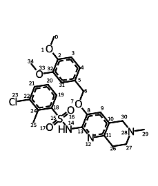 COc1ccc(COc2cc3c(nc2NS(=O)(=O)c2cccc(Cl)c2C)CCN(C)C3)cc1OC